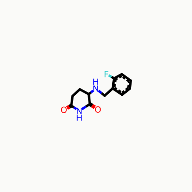 O=C1CCC(NCc2ccccc2F)C(=O)N1